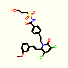 COc1cccc(/C=C/c2c(Cl)cc(Cl)c(=O)n2CCc2ccc(C(=O)NS(=O)(=O)CCCO)cc2)c1